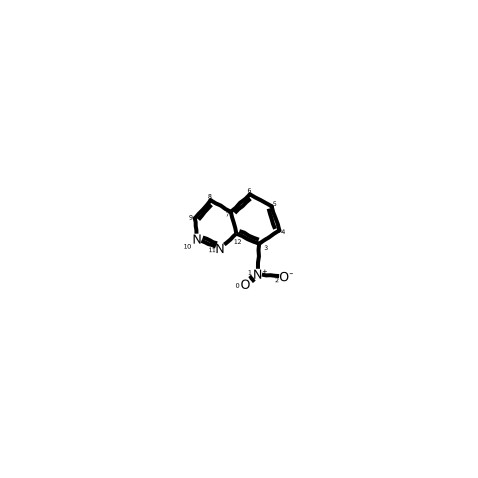 O=[N+]([O-])c1cccc2ccnnc12